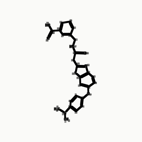 CN(C)c1ccc(Oc2ccc3nc(CC(=O)NCc4cccc(C(=O)O)c4)sc3c2)cc1